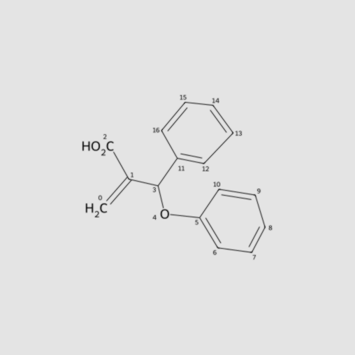 C=C(C(=O)O)C(Oc1ccccc1)c1ccccc1